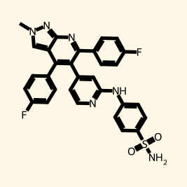 Cn1cc2c(-c3ccc(F)cc3)c(-c3ccnc(Nc4ccc(S(N)(=O)=O)cc4)c3)c(-c3ccc(F)cc3)nc2n1